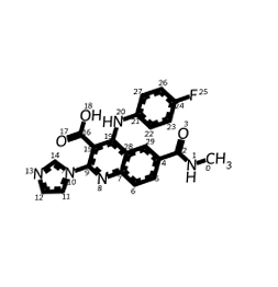 CNC(=O)c1ccc2nc(-n3ccnc3)c(C(=O)O)c(Nc3ccc(F)cc3)c2c1